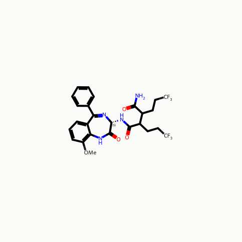 COc1cccc2c1NC(=O)[C@@H](NC(=O)C(CCC(F)(F)F)C(CCC(F)(F)F)C(N)=O)N=C2c1ccccc1